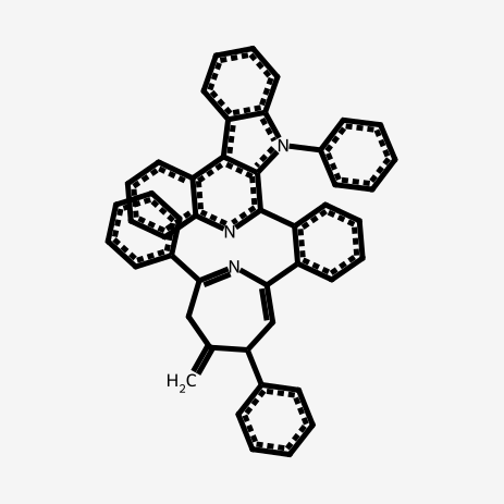 C=C1CC(c2ccccc2)=NC(c2ccccc2-c2nc3ccccc3c3c4ccccc4n(-c4ccccc4)c23)=CC1c1ccccc1